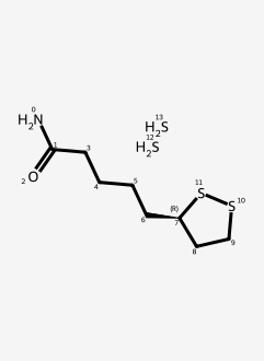 NC(=O)CCCC[C@@H]1CCSS1.S.S